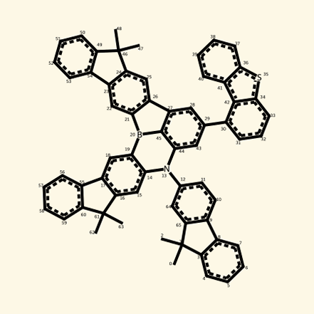 CC1(C)c2ccccc2-c2ccc(N3c4cc5c(cc4B4c6cc7c(cc6-c6cc(-c8cccc9sc%10ccccc%10c89)cc3c64)C(C)(C)c3ccccc3-7)-c3ccccc3C5(C)C)cc21